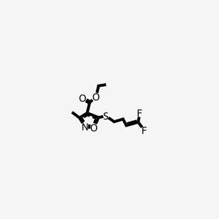 CCOC(=O)c1c(C)noc1SCCC=C(F)F